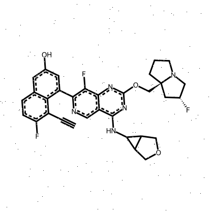 C#Cc1c(F)ccc2cc(O)cc(-c3ncc4c(NC5C6COCC65)nc(OC[C@@]56CCCN5C[C@H](F)C6)nc4c3F)c12